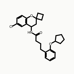 O=C(CCCc1ccccc1OC1CCCC1)NC1CC2(CCC2)Oc2ccc(Cl)cc21